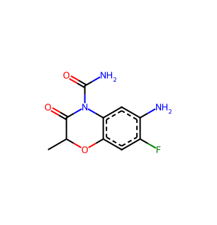 CC1Oc2cc(F)c(N)cc2N(C(N)=O)C1=O